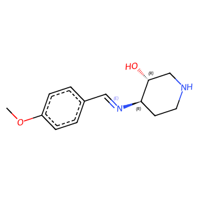 COc1ccc(/C=N/[C@@H]2CCNC[C@H]2O)cc1